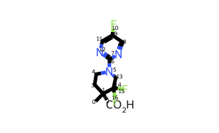 CC1(C(=O)O)CCN(c2ncc(F)cn2)CC1(F)F